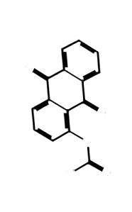 O=C(Cl)Oc1cccc2c1C(=O)c1ccccc1C2=O